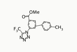 COC(=O)c1cc(-c2ccc(C)cc2)cc(-n2nnnc2C(F)(F)F)c1